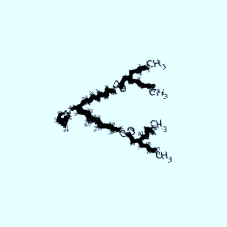 CCCCCC(CCCCC)CC(=O)OCCCCCCCCC(CCCCCCCCOC(=O)CC(CCCCC)CCCCC)CN1CCCC1